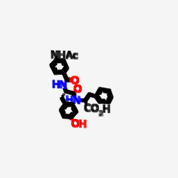 CC(=O)Nc1ccc(C(=O)N[C@@H](Cc2ccc(O)cc2)C(=O)N[C@@H](Cc2ccccc2)C(=O)O)cc1